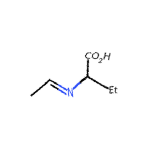 CC=NC(CC)C(=O)O